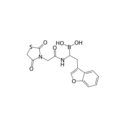 O=C(CN1C(=O)CSC1=O)NC(Cc1coc2ccccc12)B(O)O